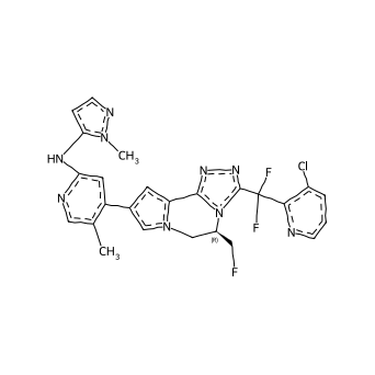 Cc1cnc(Nc2ccnn2C)cc1-c1cc2n(c1)C[C@H](CF)n1c-2nnc1C(F)(F)c1ncccc1Cl